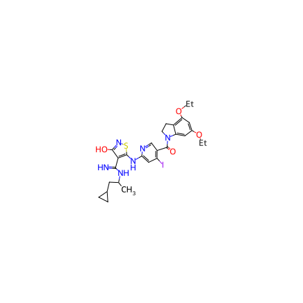 CCOc1cc(OCC)c2c(c1)N(C(=O)c1cnc(Nc3snc(O)c3C(=N)NC(C)CC3CC3)cc1I)CC2